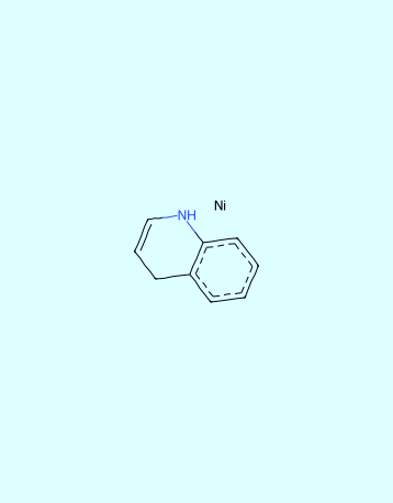 C1=CNc2ccccc2C1.[Ni]